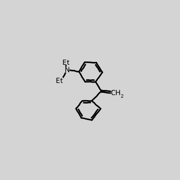 C=C(c1ccccc1)c1cccc(N(CC)CC)c1